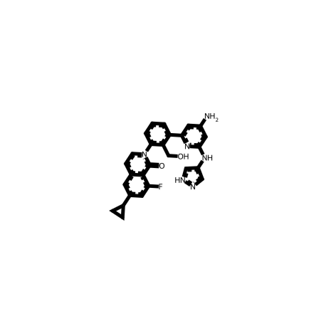 Nc1cc(Nc2cn[nH]c2)nc(-c2cccc(-n3ccc4cc(C5CC5)cc(F)c4c3=O)c2CO)c1